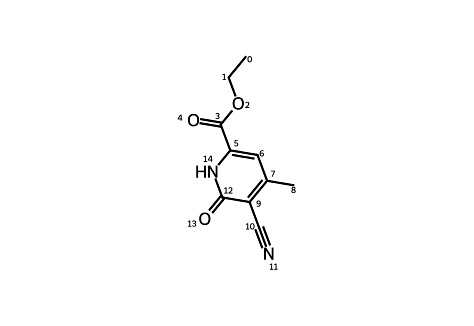 CCOC(=O)c1cc(C)c(C#N)c(=O)[nH]1